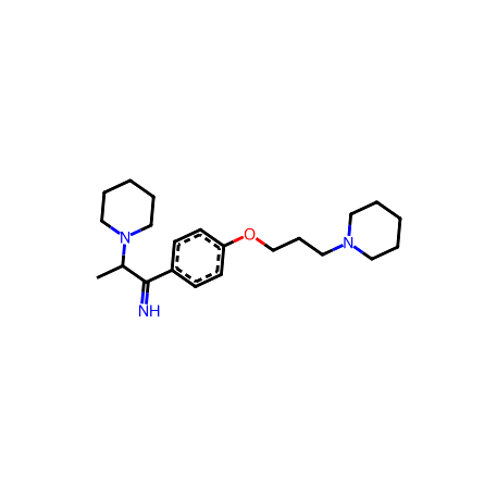 CC(C(=N)c1ccc(OCCCN2CCCCC2)cc1)N1CCCCC1